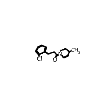 CC1CCN(C(=O)CCc2ccccc2Cl)CC1